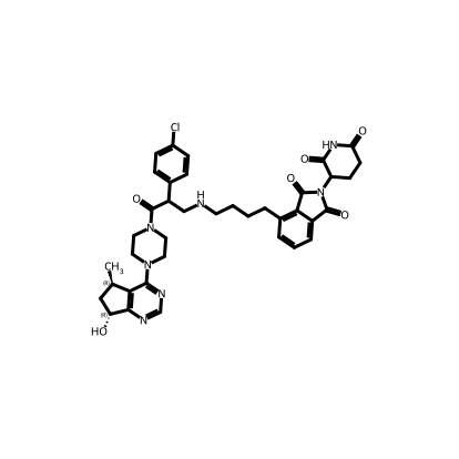 C[C@@H]1C[C@@H](O)c2ncnc(N3CCN(C(=O)C(CNCCCCc4cccc5c4C(=O)N(C4CCC(=O)NC4=O)C5=O)c4ccc(Cl)cc4)CC3)c21